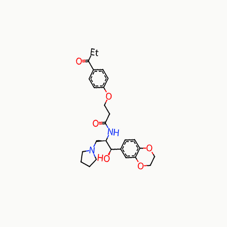 CCC(=O)c1ccc(OCCC(=O)N[C@H](CN2CCCC2)[C@H](O)c2ccc3c(c2)OCCO3)cc1